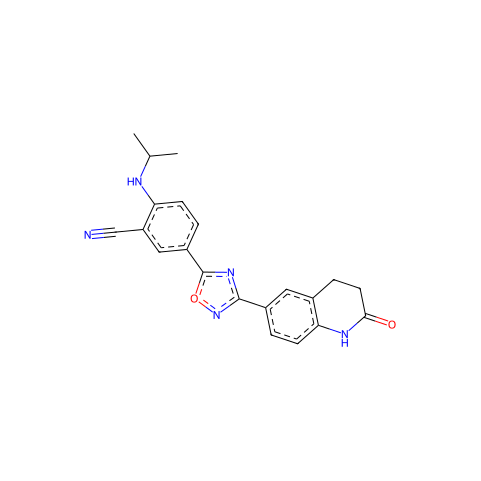 CC(C)Nc1ccc(-c2nc(-c3ccc4c(c3)CCC(=O)N4)no2)cc1C#N